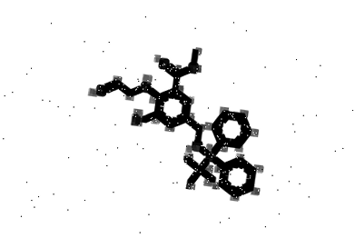 COC(=O)c1cc(CO[Si](c2ccccc2)(c2ccccc2)C(C)(C)C)cc(Br)c1OCC=O